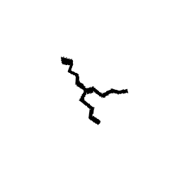 C=CCCCC(=CCCCC)CCC=C